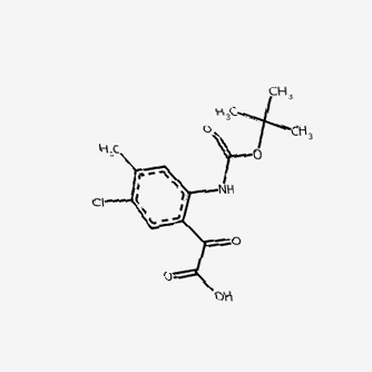 Cc1cc(NC(=O)OC(C)(C)C)c(C(=O)C(=O)O)cc1Cl